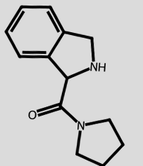 O=C(C1NCc2ccccc21)N1CCCC1